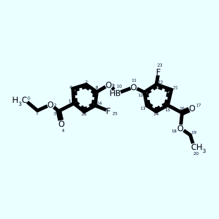 CCOC(=O)c1ccc(OBOc2ccc(C(=O)OCC)cc2F)c(F)c1